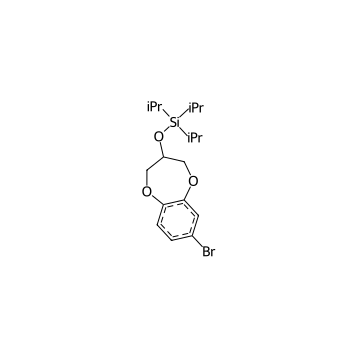 CC(C)[Si](OC1COc2ccc(Br)cc2OC1)(C(C)C)C(C)C